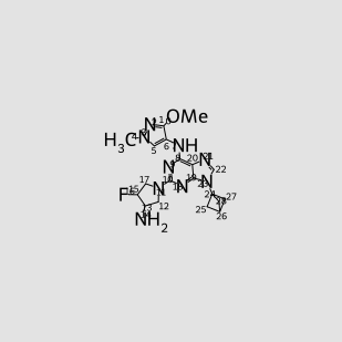 COc1nn(C)cc1Nc1nc(N2CC(N)C(F)C2)nc2c1ncn2C12CC(C1)C2